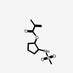 C=C(C)C(=O)OC1CCCC1NS(C)(=O)=O